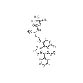 CC(CCOc1ccc(F)cc1C1CCCN1C(OC=O)c1ccccc1)NC(=O)OC(C)(C)C